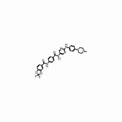 CN1CCN(c2ccc(Nc3ncc(N(Cl)C(=O)c4ccc(NC(=O)c5ccc6c(c5)OC(F)(F)O6)cc4)cn3)cc2)CC1